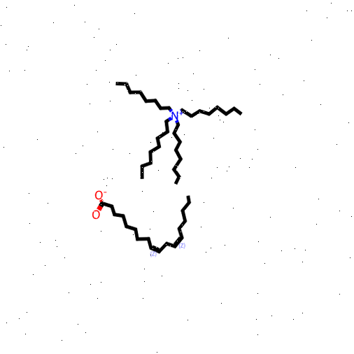 CCCCC/C=C\C/C=C\CCCCCCCC(=O)[O-].CCCCCCCC[N+](CCCCCCCC)(CCCCCCCC)CCCCCCCC